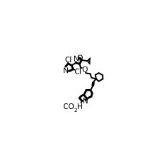 O=C(O)c1ccc2cc(C#CC3(CCCOCc4c(-c5c(Cl)cncc5Cl)noc4C4CC4)CCCCC3)ccc2n1